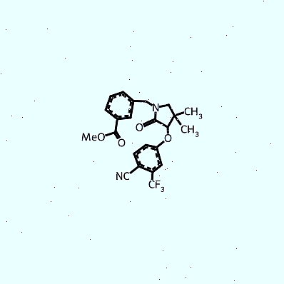 COC(=O)c1cccc(CN2CC(C)(C)C(Oc3ccc(C#N)c(C(F)(F)F)c3)C2=O)c1